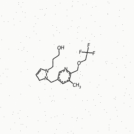 Cc1cc(CN2CC=CN2CCCO)cnc1COCC(F)(F)F